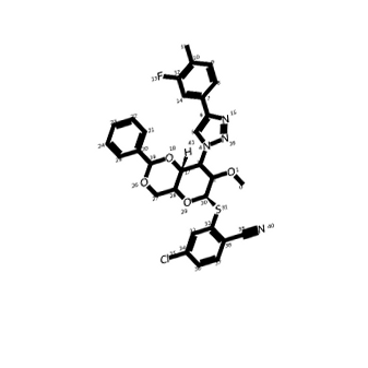 COC1C(n2cc(-c3ccc(C)c(F)c3)nn2)[C@H]2OC(c3ccccc3)OCC2O[C@@H]1Sc1cc(Cl)ccc1C#N